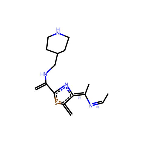 C=C(NCC1CCNCC1)c1n/c(=C(C)/N=C\C)c(=C)s1